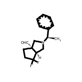 C[C@H](c1ccccc1)N1C[C@H]2C(F)(F)CC[C@@]2(C=O)C1